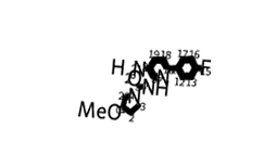 COC1CCN(C(=O)Nc2nc(-c3ccc(F)cc3)ccc2N)C1